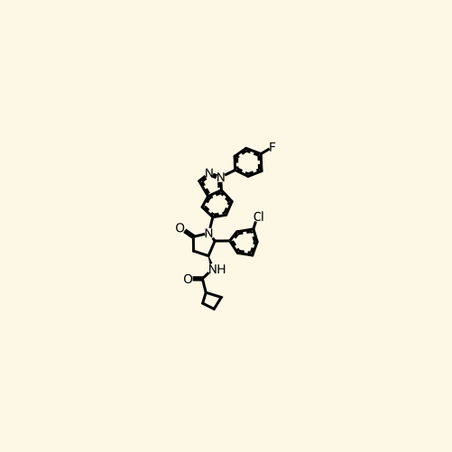 O=C(N[C@H]1CC(=O)N(c2ccc3c(cnn3-c3ccc(F)cc3)c2)C1c1cccc(Cl)c1)C1CCC1